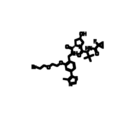 Cc1ncsc1-c1ccc(CNC(=O)[C@@H]2C[C@@H](O)CN2C(=O)[C@@H](NC(=O)C2(F)CC2)C(C)(C)C)c(OCCOCCBr)c1